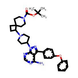 CC(C)(C)OC(=O)N1CCC2(CCC2N2CCC(n3nc(-c4ccc(Oc5ccccc5)cc4)c4c(N)ncnc43)CC2)CC1